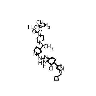 CC(c1ccnc(Nc2nc3ccc(-c4cnn(CC5CCC5)c4)c(Cl)c3[nH]2)c1)N1CCN(C(=O)OC(C)(C)C)CC1